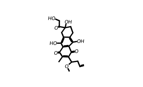 C=CCC(OC)C1=C(C)C(=O)c2c(O)c3c(c(O)c2C1=O)CCC(O)(C(=O)CO)C3